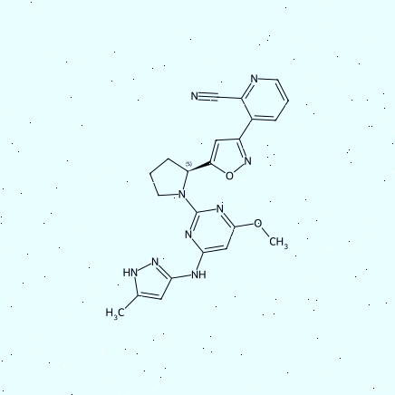 COc1cc(Nc2cc(C)[nH]n2)nc(N2CCC[C@H]2c2cc(-c3cccnc3C#N)no2)n1